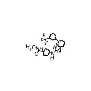 CNC(=O)c1ccc(Nc2nc3cccc(-c4cccc(C(F)(F)F)c4)n3n2)cc1